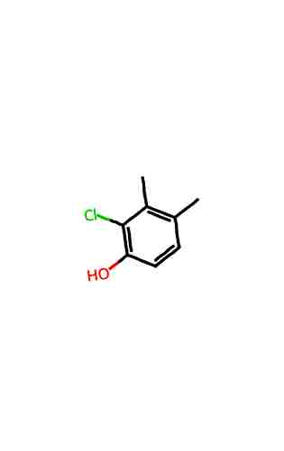 Cc1ccc(O)c(Cl)c1C